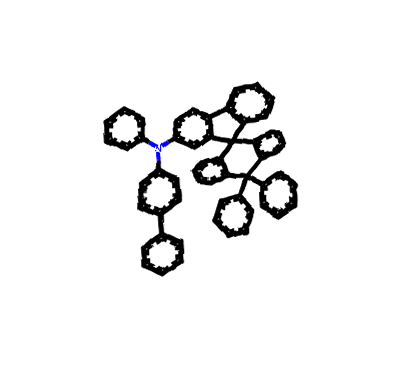 c1ccc(-c2ccc(N(c3ccccc3)c3ccc4c(c3)C3(c5ccccc5-4)c4ccccc4C(c4ccccc4)(c4ccccc4)c4ccccc43)cc2)cc1